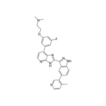 Cc1ccncc1-c1ccc2[nH]nc(-c3nc4c(-c5cc(F)cc(OCCN(C)C)c5)ccnc4[nH]3)c2c1